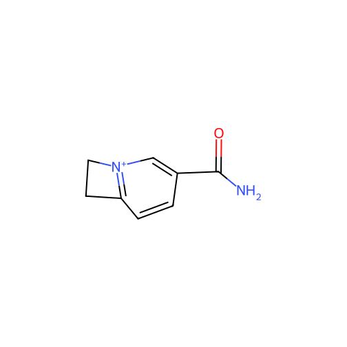 NC(=O)c1ccc2[n+](c1)CC2